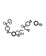 O=C([C@@H](CC[C@H](O)Cc1cc(C2CC23CCN(C(=O)[C@H]2CCCO2)CC3)ccc1Br)C1CC1)N1CCC2(CC1)C[C@@H]2c1ccc(Br)cc1